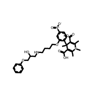 CC1=C(C(=O)O)C(C)(c2ccc([N+](=O)[O-])cc2OCCCCNCC(O)COc2ccccc2)C(C(=O)O)=C(C)N1C